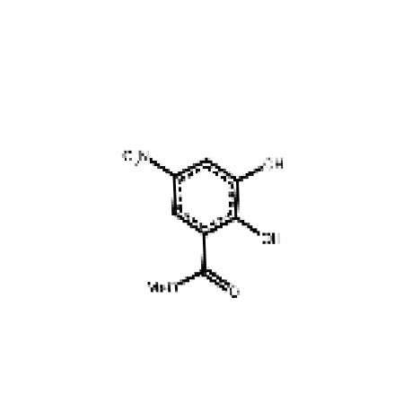 COC(=O)c1cc([N+](=O)[O-])cc(O)c1O